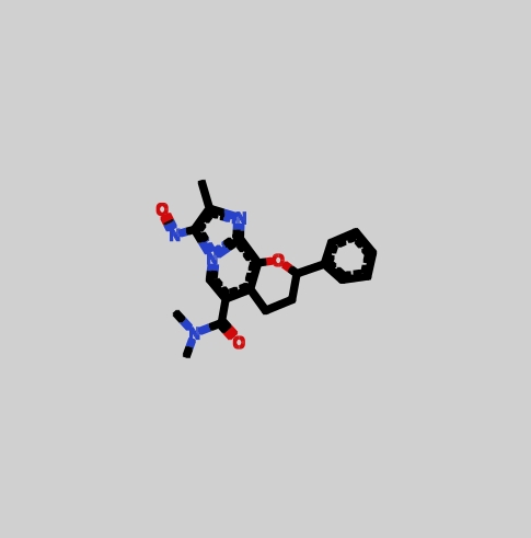 Cc1nc2c3c(c(C(=O)N(C)C)cn2c1N=O)CCC(c1ccccc1)O3